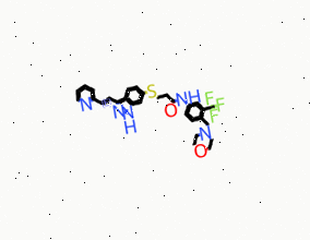 O=C(CCSc1ccc2c(/C=C/c3ccccn3)n[nH]c2c1)Nc1ccc(CN2CCOCC2)c(C(F)(F)F)c1